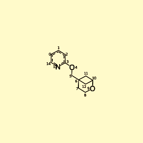 c1ccc(OCC23CCOC(C2)C3)nc1